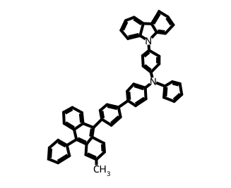 Cc1ccc2c(-c3ccc(-c4ccc(N(c5ccccc5)c5ccc(-n6c7ccccc7c7ccccc76)cc5)cc4)cc3)c3ccccc3c(-c3ccccc3)c2c1